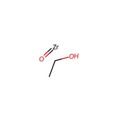 CCO.[O]=[Zr]